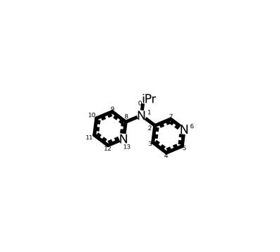 CC(C)N(c1cccnc1)c1ccccn1